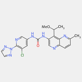 COC(C)c1c(NC(=O)Nc2cnc(-n3nccn3)c(Cl)c2)cnc2ccc(C)nc12